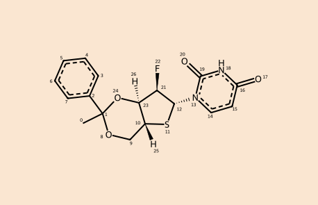 CC1(c2ccccc2)OC[C@H]2S[C@@H](n3ccc(=O)[nH]c3=O)[C@H](F)[C@@H]2O1